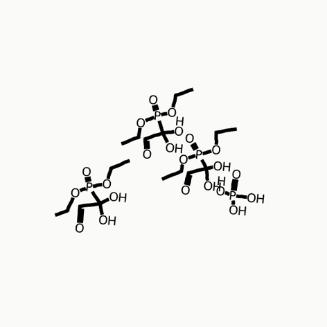 CCOP(=O)(OCC)C(O)(O)C=O.CCOP(=O)(OCC)C(O)(O)C=O.CCOP(=O)(OCC)C(O)(O)C=O.O=P(O)(O)O